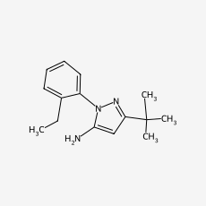 CCc1ccccc1-n1nc(C(C)(C)C)cc1N